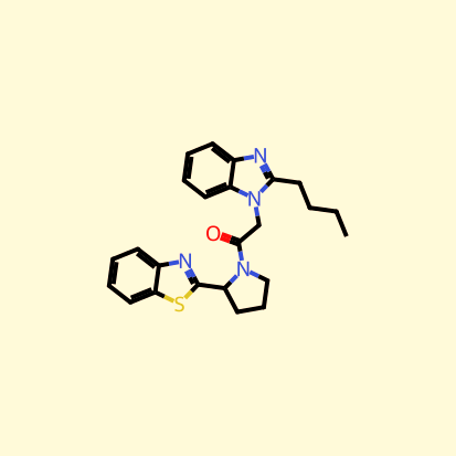 CCCCc1nc2ccccc2n1CC(=O)N1CCCC1c1nc2ccccc2s1